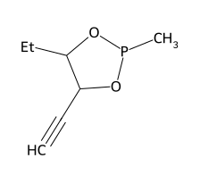 C#CC1OP(C)OC1CC